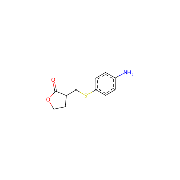 Nc1ccc(SCC2CCOC2=O)cc1